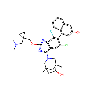 CN(C)CC1(COc2nc(N3C[C@H]4CC(C)(C[C@@H]4O)C3)c3cc(Cl)c(-c4cc(O)cc5ccccc45)c(F)c3n2)CC1